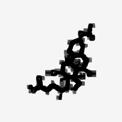 COC(=O)CC[C@@H](C)[C@H]1CC[C@H]2[C@@H]3[C@H](O)CC4C[C@H](OC(C)=O)CC[C@]4(C)[C@H]3C[C@H](O)[C@]12C